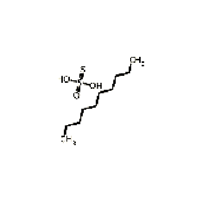 CCCCCCCCCC.O=S(O)(O)=S